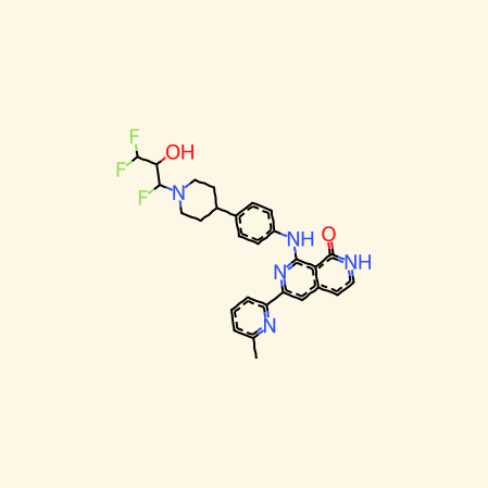 Cc1cccc(-c2cc3cc[nH]c(=O)c3c(Nc3ccc(C4CCN(C(F)C(O)C(F)F)CC4)cc3)n2)n1